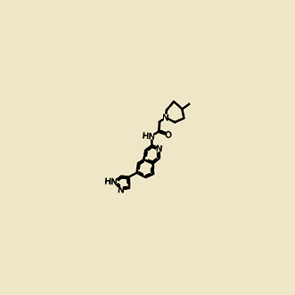 CC1CCN(CC(=O)Nc2cc3cc(-c4cn[nH]c4)ccc3cn2)CC1